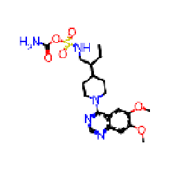 CCC(CNS(=O)(=O)OC(N)=O)C1CCN(c2ncnc3cc(OC)c(OC)cc23)CC1